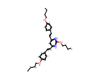 CCCCOc1ccc(C=Cc2cc(C=Cc3ccc(OCCCC)cc3)nc(OCCCC)n2)cc1